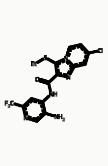 CCSc1c(C(=O)Nc2cc(C(F)(F)F)ncc2N)nc2cc(Cl)ccn12